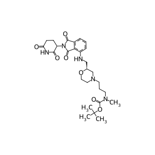 CN(CCCN1CCO[C@@H](CNc2cccc3c2C(=O)N(C2CCC(=O)NC2=O)C3=O)C1)C(=O)OC(C)(C)C